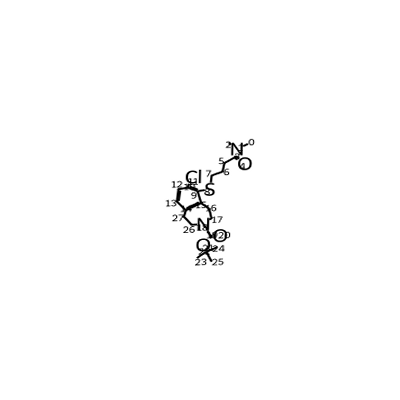 CN(C)C(=O)CCCSc1c(Cl)ccc2c1CCN(C(=O)OC(C)(C)C)CC2